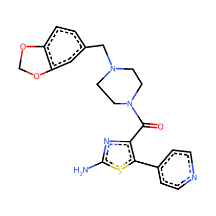 Nc1nc(C(=O)N2CCN(Cc3ccc4c(c3)OCO4)CC2)c(-c2ccncc2)s1